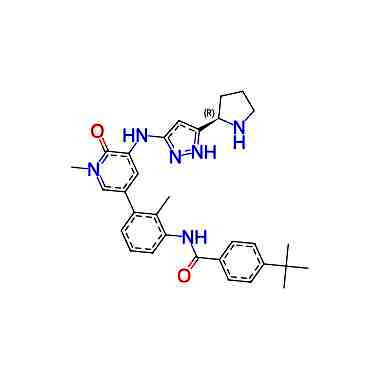 Cc1c(NC(=O)c2ccc(C(C)(C)C)cc2)cccc1-c1cc(Nc2cc([C@H]3CCCN3)[nH]n2)c(=O)n(C)c1